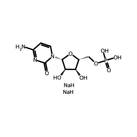 Nc1ccn([C@@H]2O[C@H](COP(=O)(O)O)[C@@H](O)[C@H]2O)c(=O)n1.[NaH].[NaH]